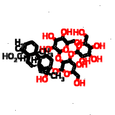 C[C@@]12CCC[C@@](C)(C(=O)O)[C@H]1CC[C@@]13C[C@@](OC4OC(CO)C(O)C(OC5OC(CO)C(O)C(O)C5O)C4OC4OC(CO)C(O)C(O)C4O)(CC[C@H]12)[C@](C)(O)C3